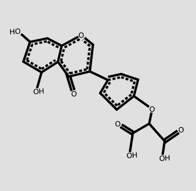 O=C(O)C(Oc1ccc(-c2coc3cc(O)cc(O)c3c2=O)cc1)C(=O)O